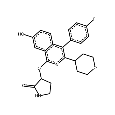 O=C1NCCC1Oc1nc(C2CCOCC2)c(-c2ccc(F)cc2)c2ccc(O)cc12